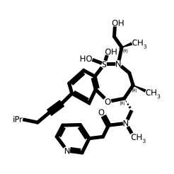 CC(C)CC#Cc1ccc2c(c1)O[C@@H](CN(C)C(=O)Cc1cccnc1)[C@H](C)CN([C@H](C)CO)S2(O)O